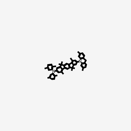 Cc1ccc(C)c(N(c2cc(C)c3c(c2)C(C)(C)c2cc4c(cc2-3)C(C)(C)c2cc(N3c5cc(C)ccc5Cc5ccc(C)cc53)cc(C)c2-4)c2cc(C)ccc2C)c1